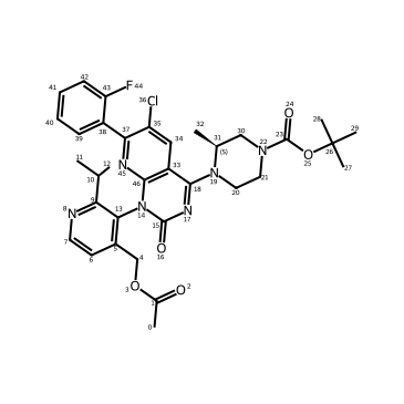 CC(=O)OCc1ccnc(C(C)C)c1-n1c(=O)nc(N2CCN(C(=O)OC(C)(C)C)C[C@@H]2C)c2cc(Cl)c(-c3ccccc3F)nc21